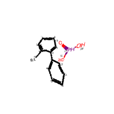 CCc1ccccc1-c1ccccc1.O=[PH](O)O